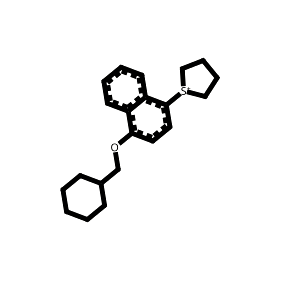 c1ccc2c([S+]3CCCC3)ccc(OCC3CCCCC3)c2c1